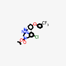 C=C(C)OC(=O)N1Cc2cc(Cl)ccc2-n2c(nnc2[C@H]2CC[C@H](Oc3cccc(C(F)(F)F)c3)CC2)C1